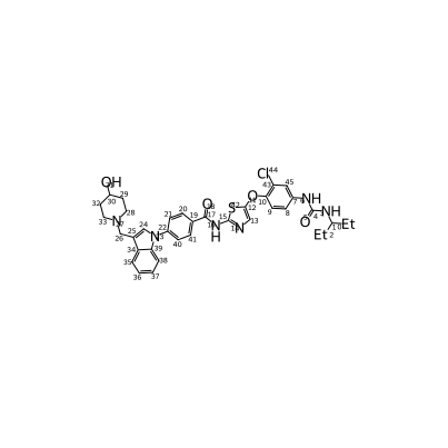 CCC(CC)NC(=O)Nc1ccc(Oc2cnc(NC(=O)c3ccc(-n4cc(CN5CCC(O)CC5)c5ccccc54)cc3)s2)c(Cl)c1